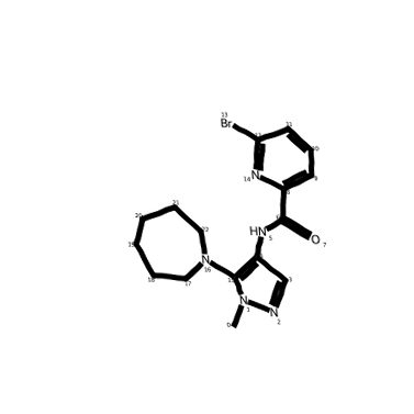 Cn1ncc(NC(=O)c2cccc(Br)n2)c1N1CCCCCC1